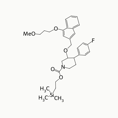 COCCCOc1cc(COC2CN(C(=O)OCC[Si](C)(C)C)CCC2c2ccc(F)cc2)cc2ccccc12